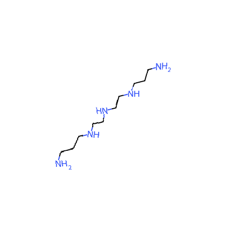 NCCCNCCNCCNCCCN